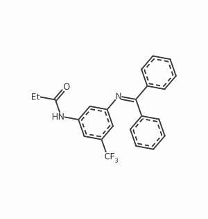 CCC(=O)Nc1cc(N=C(c2ccccc2)c2ccccc2)cc(C(F)(F)F)c1